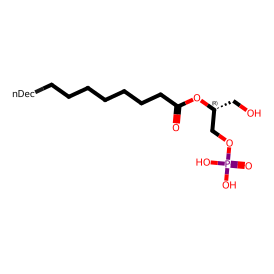 CCCCCCCCCCCCCCCCCC(=O)O[C@H](CO)COP(=O)(O)O